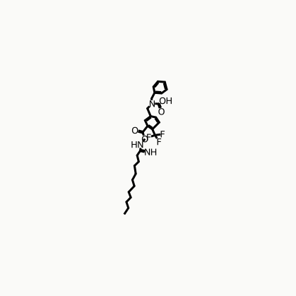 CCCCCCCCCCCC(=N)NOC(=O)c1cc(CN(Cc2ccccc2)C(=O)O)ccc1C(F)(F)F